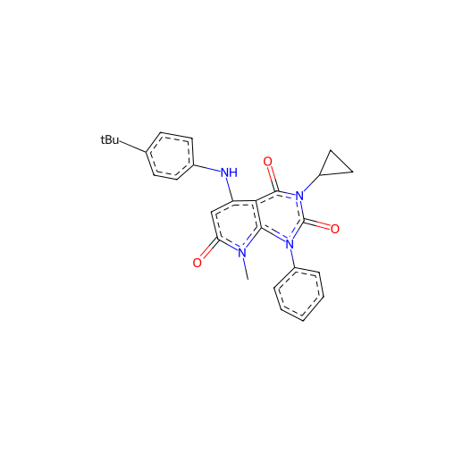 Cn1c(=O)cc(Nc2ccc(C(C)(C)C)cc2)c2c(=O)n(C3CC3)c(=O)n(-c3ccccc3)c21